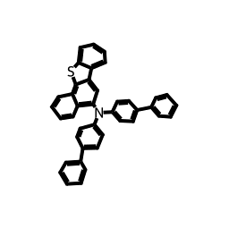 c1ccc(-c2ccc(N(c3ccc(-c4ccccc4)cc3)c3cc4c5ccccc5sc4c4ccccc34)cc2)cc1